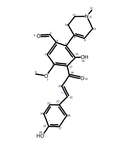 COc1cc(C=O)c(C2=CCN(C)CC2)c(O)c1C(=O)/C=C/c1ccc(O)cc1